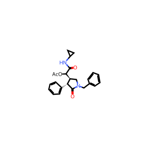 CC(=O)OC(C(=O)NC1CC1)[C@H]1CN(Cc2ccccc2)C(=O)[C@@H]1c1ccccc1